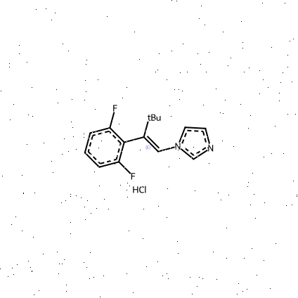 CC(C)(C)/C(=C\n1ccnc1)c1c(F)cccc1F.Cl